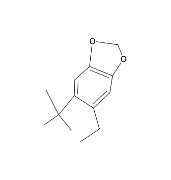 CCc1cc2c(cc1C(C)(C)C)OCO2